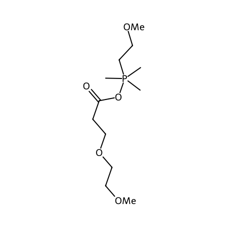 COCCOCCC(=O)OP(C)(C)(C)CCOC